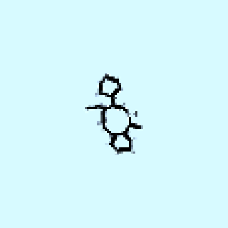 C=C1N/C=C(c2ccccc2)\C(CC)=C/Cc2ccccc21